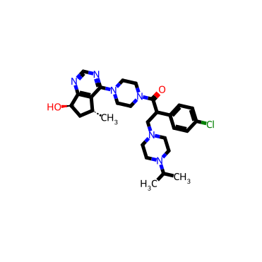 CC(C)N1CCN(CC(C(=O)N2CCN(c3ncnc4c3[C@H](C)C[C@H]4O)CC2)c2ccc(Cl)cc2)CC1